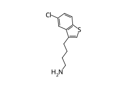 NCCCCc1csc2ccc(Cl)cc12